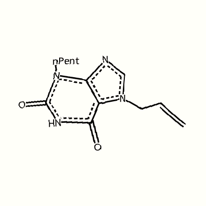 C=CCn1cnc2c1c(=O)[nH]c(=O)n2CCCCC